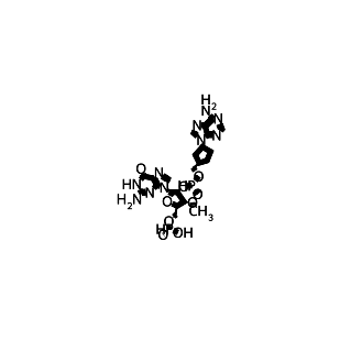 CO[C@H]1[C@@H](O[PH](=O)OC[C@@H]2CC[C@H](n3cnc4c(N)ncnc43)C2)[C@H](n2cnc3c(=O)[nH]c(N)nc32)O[C@@H]1CO[PH](=O)O